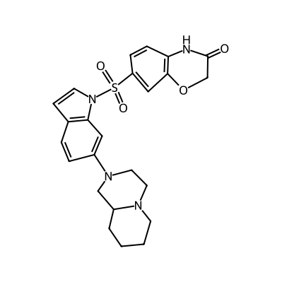 O=C1COc2cc(S(=O)(=O)n3ccc4ccc(N5CCN6CCCCC6C5)cc43)ccc2N1